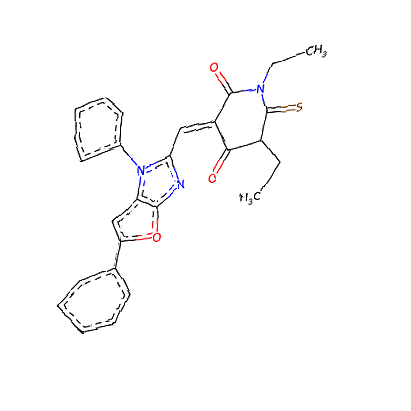 CCC1C(=O)/C(=C\c2nc3oc(-c4ccccc4)cc3n2-c2ccccc2)C(=O)N(CC)C1=S